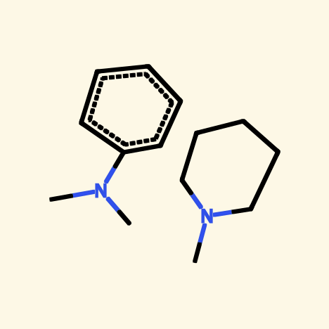 CN(C)c1ccccc1.CN1CCCCC1